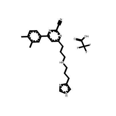 Cc1ccc(-c2cc(CCCNCCCc3c[nH]cn3)nc(C#N)n2)cc1C.O=C(O)C(F)(F)F